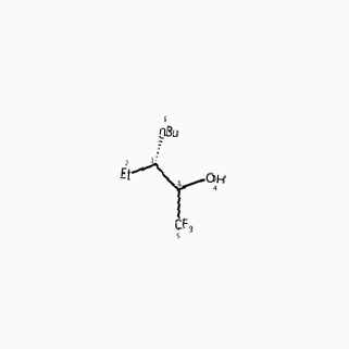 CCCC[C@@H](CC)C(O)C(F)(F)F